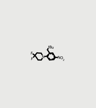 CC(C)(C)[CH]c1cc([N+](=O)[O-])ccc1N1CCC(F)(F)CC1